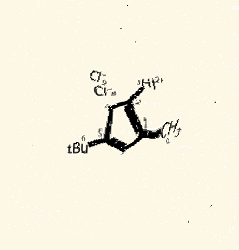 CC1=[C]([Hf+2])CC(C(C)(C)C)=C1.[Cl-].[Cl-]